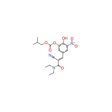 CCN(CC)C(=O)/C(C#N)=C/c1cc(OC(=O)OCC(C)C)c(O)c([N+](=O)[O-])c1